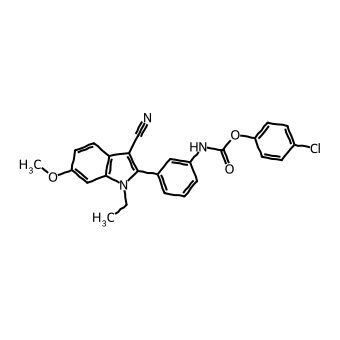 CCn1c(-c2cccc(NC(=O)Oc3ccc(Cl)cc3)c2)c(C#N)c2ccc(OC)cc21